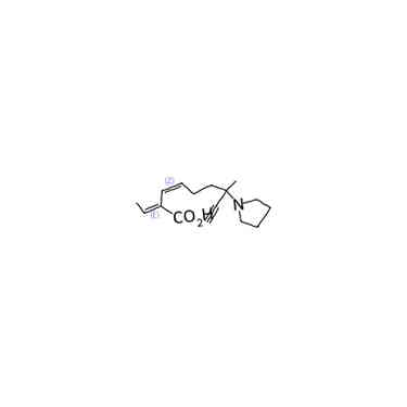 C#CC(C)(CC/C=C\C(=C/C)C(=O)O)N1CCCC1